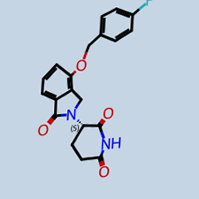 O=C1CC[C@H](N2Cc3c(OCc4ccc(F)cc4)cccc3C2=O)C(=O)N1